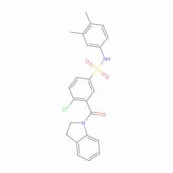 Cc1ccc(NS(=O)(=O)c2ccc(Cl)c(C(=O)N3CCc4ccccc43)c2)cc1C